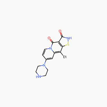 CCc1c2s[nH]c(=O)c2c(=O)n2ccc(N3CCNCC3)cc12